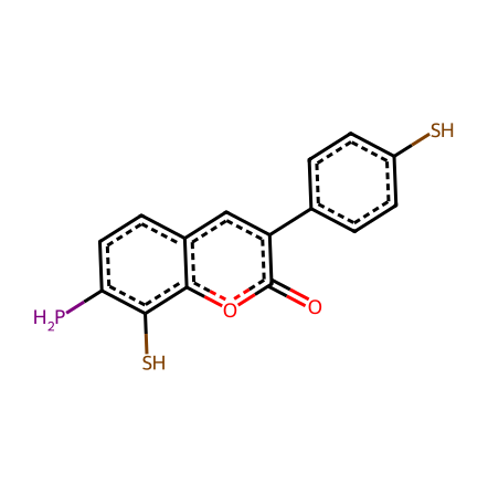 O=c1oc2c(S)c(P)ccc2cc1-c1ccc(S)cc1